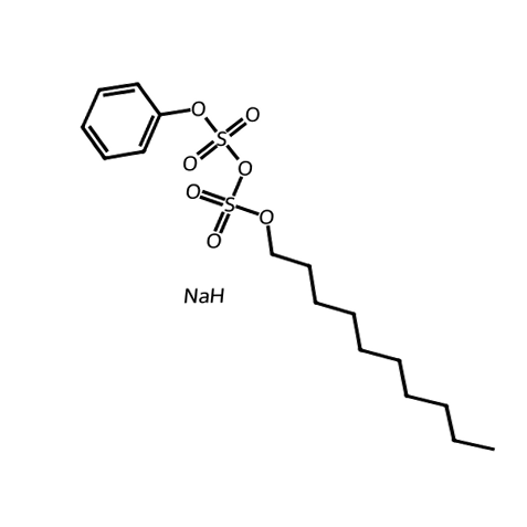 CCCCCCCCCCOS(=O)(=O)OS(=O)(=O)Oc1ccccc1.[NaH]